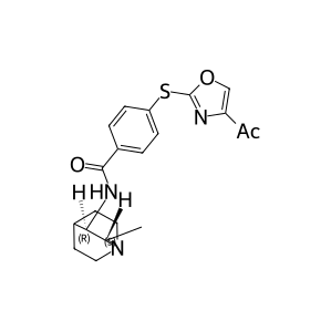 CC(=O)c1coc(Sc2ccc(C(=O)N[C@@H]3C4CCN(CC4)[C@H]3C)cc2)n1